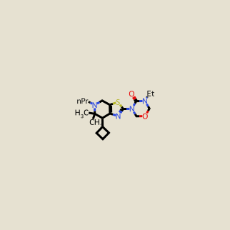 CCCN1Cc2sc(N3COCN(CC)C3=O)nc2C(C2CCC2)C1(C)C